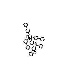 c1ccc(-c2ccc(-c3cc(-c4ccc(-c5ccccc5)cc4)nc(-c4cccc(-c5cccc(-c6c7c(cc8c(-c9ccccc9)nc9ccccc9c68)oc6ccccc67)c5)c4)n3)cc2)cc1